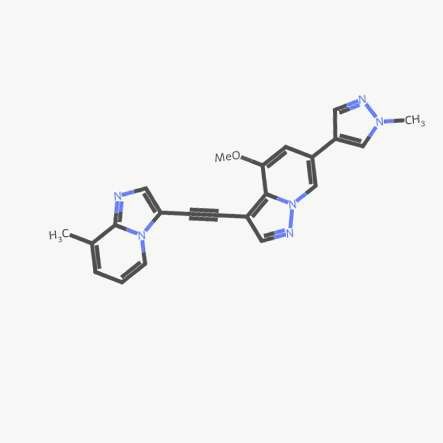 COc1cc(-c2cnn(C)c2)cn2ncc(C#Cc3cnc4c(C)cccn34)c12